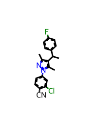 Cc1nn(-c2ccc(C#N)c(Cl)c2)c(C)c1C(C)c1ccc(F)cc1